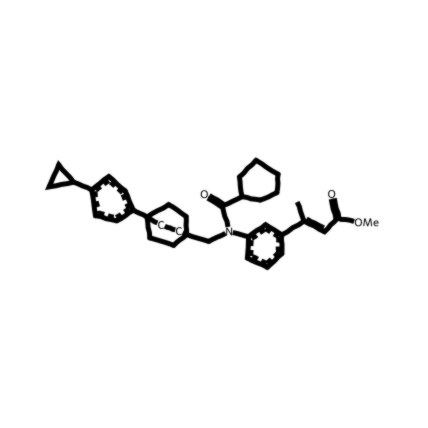 COC(=O)/C=C(\C)c1cccc(N(CC23CCC(c4ccc(C5CC5)cc4)(CC2)CC3)C(=O)C2CCCCC2)c1